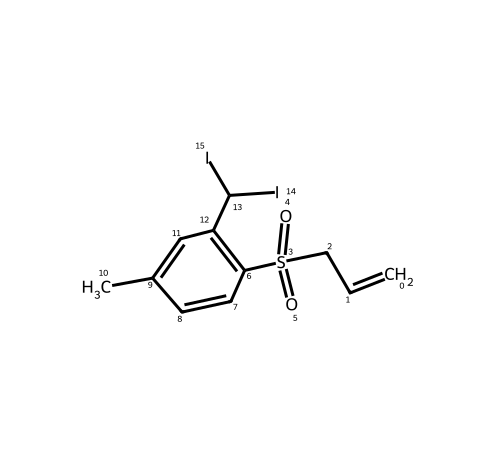 C=CCS(=O)(=O)c1ccc(C)cc1C(I)I